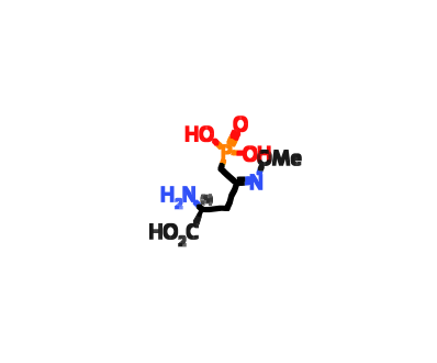 CON=C(C[C@H](N)C(=O)O)CP(=O)(O)O